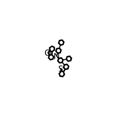 c1ccc(-c2ccc(N(c3ccc(-c4cccc5c4sc4ccccc45)c(-c4ccccc4)c3)c3cccc4oc5ccccc5c34)cc2)cc1